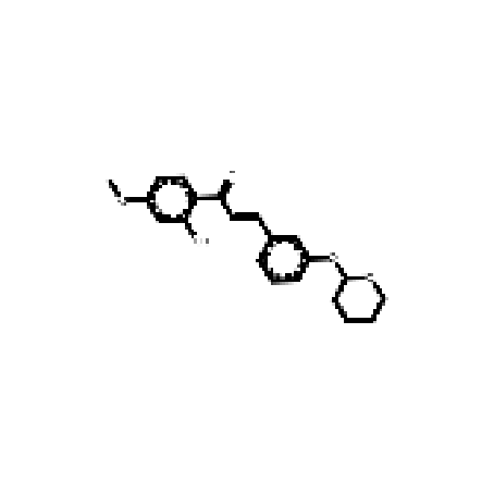 COc1ccc(C(=O)/C=C/c2cccc(OC3CCCCO3)c2)c(O)c1